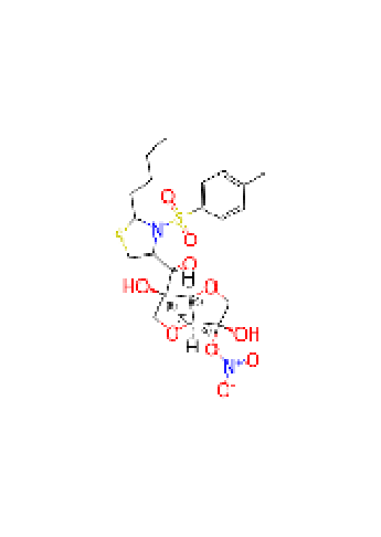 CCCCC1SCC(C(=O)[C@@]2(O)CO[C@H]3[C@@H]2OC[C@]3(O)O[N+](=O)[O-])N1S(=O)(=O)c1ccc(C)cc1